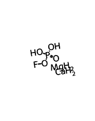 O=P(O)(O)OF.[CaH2].[MgH2]